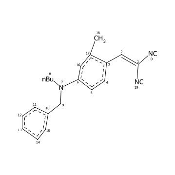 [C-]#[N+]C(=Cc1ccc(N(CCCC)Cc2ccccc2)cc1C)[N+]#[C-]